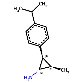 CC(C)c1ccc([C@H]2[C@@H](C)[C@@H]2N)cc1